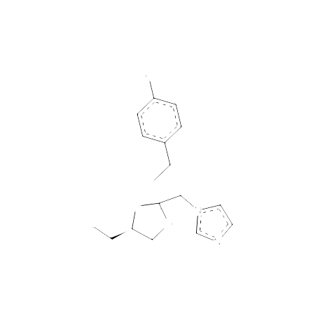 ClC[C@@H]1CO[C@](CCc2ccc(Cl)cc2)(Cn2ccnc2)O1